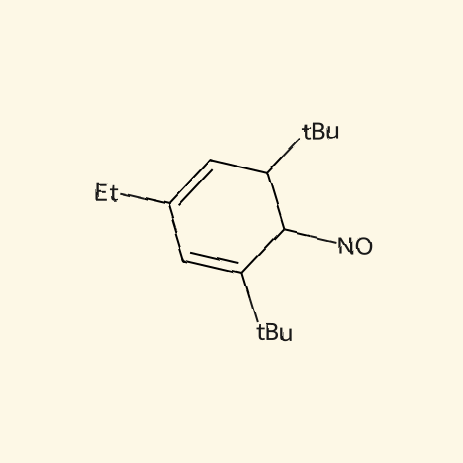 CCC1=CC(C(C)(C)C)C(N=O)C(C(C)(C)C)=C1